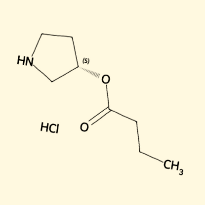 CCCC(=O)O[C@H]1CCNC1.Cl